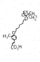 CCC(C)(C)C(=O)OCCCCCCOc1ccc(/C=C/C(=O)O)cc1C